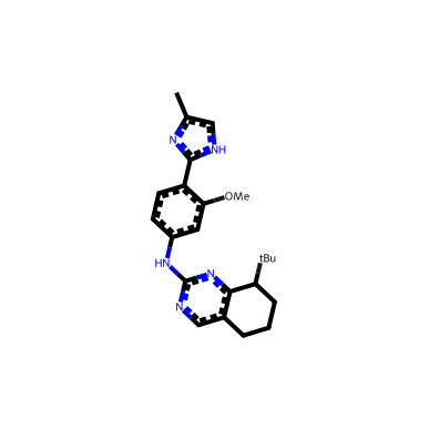 COc1cc(Nc2ncc3c(n2)C(C(C)(C)C)CCC3)ccc1-c1nc(C)c[nH]1